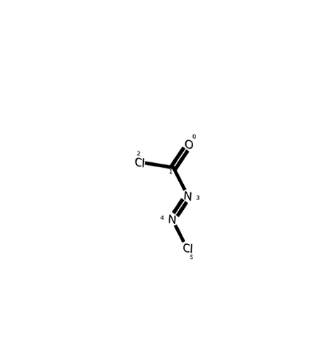 O=C(Cl)N=NCl